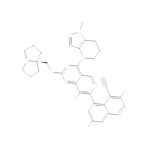 C#Cc1c(F)ccc2cc(O)cc(-c3ncc4c(N5CCCc6c5cnn6C)nc(OC[C@@]56CCCN5C[C@H](F)C6)nc4c3F)c12